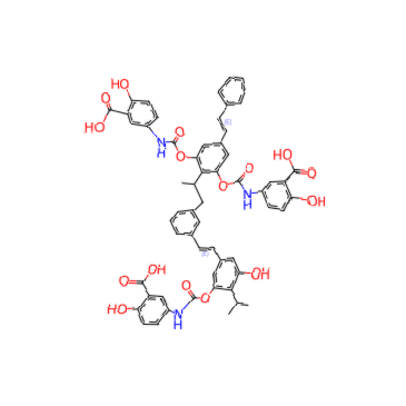 CC(C)c1c(O)cc(/C=C/c2cccc(CC(C)c3c(OC(=O)Nc4ccc(O)c(C(=O)O)c4)cc(/C=C/c4ccccc4)cc3OC(=O)Nc3ccc(O)c(C(=O)O)c3)c2)cc1OC(=O)Nc1ccc(O)c(C(=O)O)c1